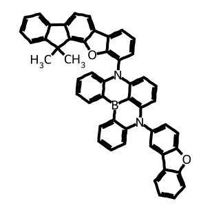 CC1(C)c2ccccc2-c2ccc3c(oc4c(N5c6ccccc6B6c7ccccc7N(c7ccc8oc9ccccc9c8c7)c7cccc5c76)cccc43)c21